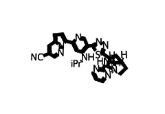 CC(C)Nc1cc(-c2ccc3cc(C#N)cnn23)ncc1-c1nnc(C2C[C@H]3CC[N@](C2)[C@@H]3Nc2ncccn2)s1